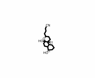 CCC12CCC(CCCC#N)OC1(O)CCC1C2CCC[C@@H]1O